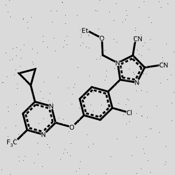 CCOCn1c(-c2ccc(Oc3nc(C4CC4)cc(C(F)(F)F)n3)cc2Cl)nc(C#N)c1C#N